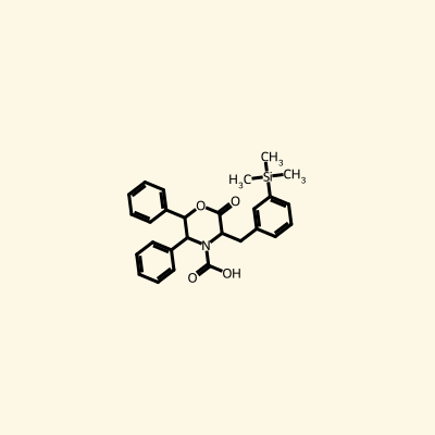 C[Si](C)(C)c1cccc(CC2C(=O)OC(c3ccccc3)C(c3ccccc3)N2C(=O)O)c1